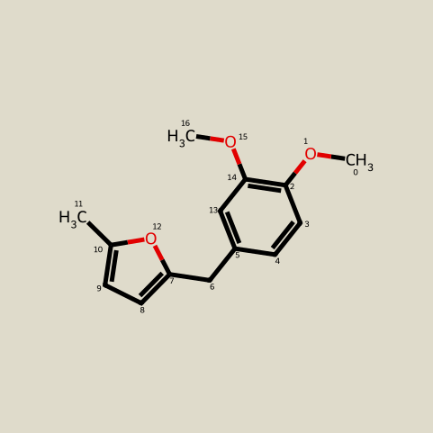 COc1ccc(Cc2ccc(C)o2)cc1OC